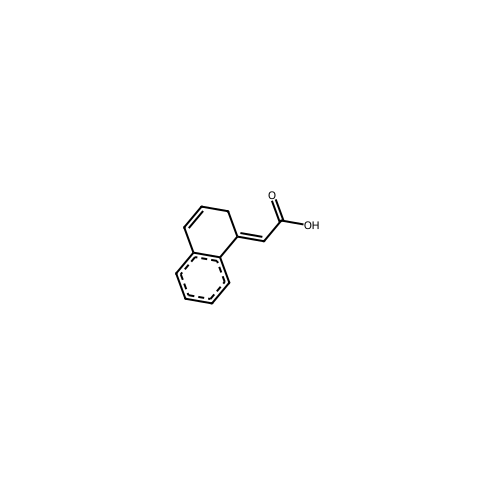 O=C(O)C=C1CC=Cc2ccccc21